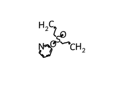 C=CCS(=O)(=O)CC=C.c1ccncc1